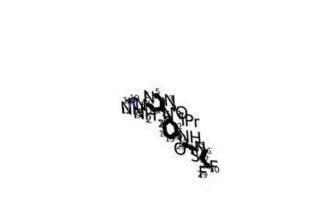 CC(C)Oc1nc2cnc(N(N)/C=C\N)cc2n1[C@@H]1CCC[C@H](NC(=O)c2ncc(C(F)F)s2)C1